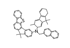 CC1C=C2C(=CC1N(Cc1ccc3ccccc3c1)c1ccc3c(c1)-c1c(ccc4c1sc1ccccc14)C3(C)C)C(C)(C)C1=C2C=CCC1